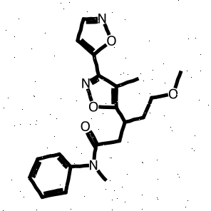 COCCC(CC(=O)N(C)c1ccccc1)c1onc(-c2ccno2)c1C